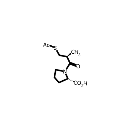 CC(=O)SC[C@@H](C)C(=O)N1CCC[C@H]1C(=O)O